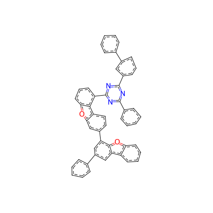 c1ccc(-c2cccc(-c3nc(-c4ccccc4)nc(-c4cccc5oc6cc(-c7cc(-c8ccccc8)cc8c7oc7ccccc78)ccc6c45)n3)c2)cc1